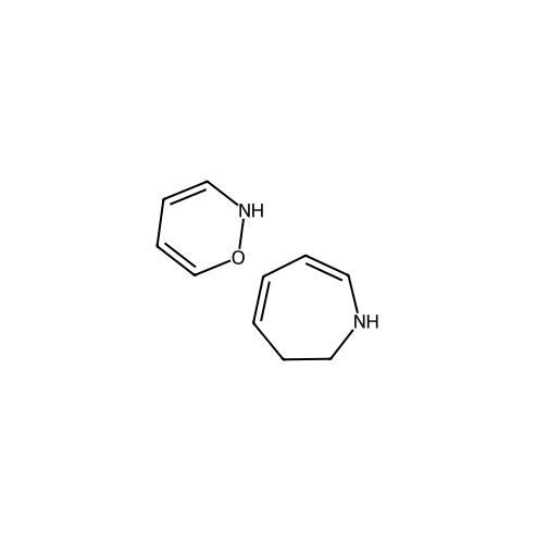 C1=CCCNC=C1.C1=CNOC=C1